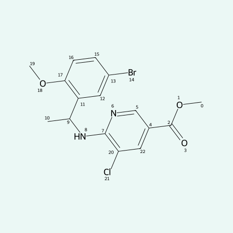 COC(=O)c1cnc(NC(C)c2cc(Br)ccc2OC)c(Cl)c1